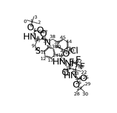 CC(C)(C)OC(=O)N[C@H]1CSc2ccc(C(=O)NNC(=O)C(C)(NC(=O)OC(C)(C)C)C(F)(F)F)cc2N(Cc2ccc(Cl)cc2)C1=O